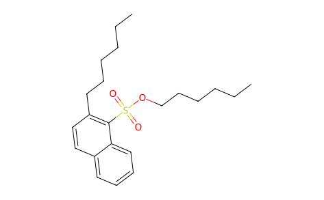 CCCCCCOS(=O)(=O)c1c(CCCCCC)ccc2ccccc12